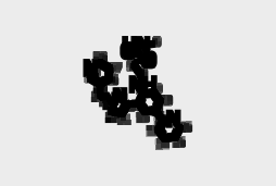 CNS(=O)(=O)CCNc1ccc(-c2ccccn2)cc1-c1ccn(Cc2cccnc2)n1